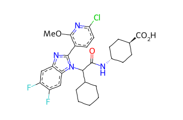 COc1nc(Cl)ccc1-c1nc2cc(F)c(F)cc2n1C(C(=O)N[C@H]1CC[C@H](C(=O)O)CC1)C1CCCCC1